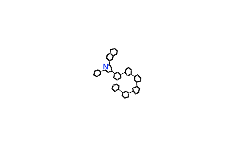 c1ccc(-c2cccc(-c3cccc(-c4cccc(-c5cccc(-c6cccc(-c7cc(-c8ccccc8)nc(-c8ccc9ccccc9c8)c7)c6)c5)c4)c3)c2)cc1